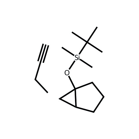 C#CCC.CC(C)(C)[Si](C)(C)OC12CCCC1C2